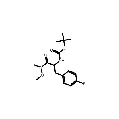 CON(C)C(=O)C(Cc1ccc(F)cc1)NC(=O)OC(C)(C)C